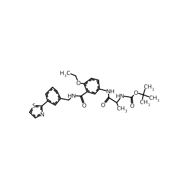 CCOc1ccc(NC(=O)C(C)NC(=O)OC(C)(C)C)cc1C(=O)NCc1cccc(-c2nccs2)c1